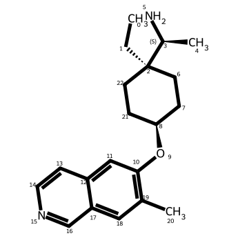 CC[C@]1([C@H](C)N)CC[C@@H](Oc2cc3ccncc3cc2C)CC1